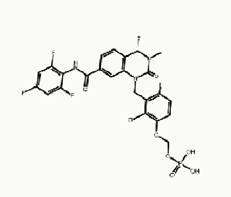 C[C@H]1c2ccc(C(=O)Nc3c(F)cc(F)cc3F)cc2N(Cc2c(F)ccc(OCOP(=O)(O)O)c2Cl)C(=O)N1C